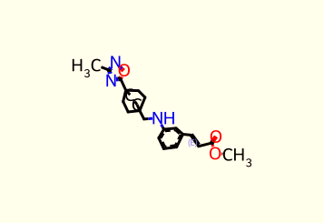 COC(=O)/C=C/c1cccc(NCC23CCC(c4nc(C)no4)(CC2)CC3)c1